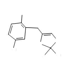 Cc1ccc(S(=O)(=O)O)c(CC2=COC(C)(C)O2)c1